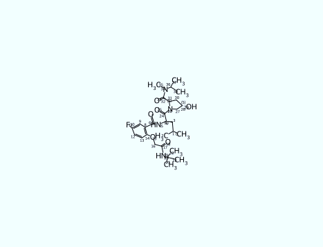 CC(C)C[C@@H](NC(=O)c1cc(F)ccc1OCC(=O)NC(C)(C)C)C(=O)N1C[C@@H](O)C[C@@H]1C(=O)N(C)C(C)C